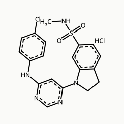 CNS(=O)(=O)c1ccc2c(c1)N(c1cc(Nc3ccc(Cl)cc3)ncn1)CC2.Cl